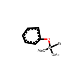 CC[Si](OC)(OC)Oc1ccccc1